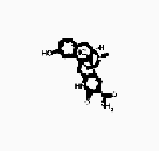 CN1CC[C@]23Cc4[nH]c(=O)c(C(N)=O)cc4C[C@@]2(O)[C@H]1Cc1ccc(O)cc13